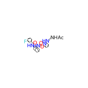 CC(=O)NCCNc1cccc(OC(=O)NC23CC4CC(C2)CC(NC(=O)c2cccc(F)c2)(C4)C3)n1